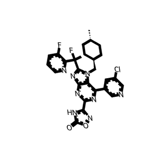 CC(F)(c1ncccc1F)c1nc2nc(-c3noc(=O)[nH]3)nc(-c3cncc(Cl)c3)c2n1C[C@H]1CC[C@H](C)CC1